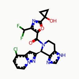 O=C(c1oc(C2(O)CC2)nc1C(F)F)N1CCc2[nH]cnc2[C@H]1c1cc2c(Cl)cccn2n1